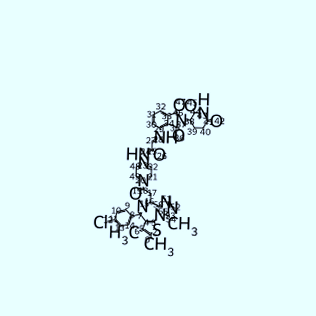 Cc1sc2c(c1C)C(c1ccc(Cl)cc1)=N[C@@H](CC(=O)N1CCN(NC(=O)CNc3cccc4c3C(=O)N(C3CCC(=O)NC3=O)C4=O)CC1)c1nnc(C)n1-2